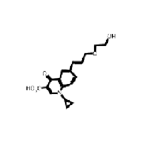 O=C(O)c1cn(C2CC2)c2ccc(C=CCOCCO)cc2c1=O